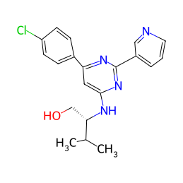 CC(C)[C@H](CO)Nc1cc(-c2ccc(Cl)cc2)nc(-c2cccnc2)n1